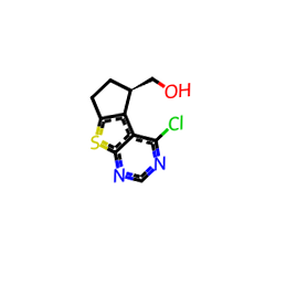 OC[C@@H]1CCc2sc3ncnc(Cl)c3c21